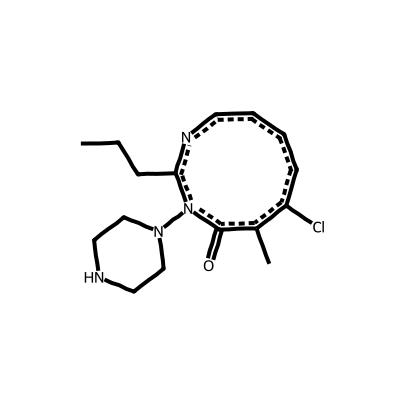 CCCc1nccccc(Cl)c(C)c(=O)n1N1CCNCC1